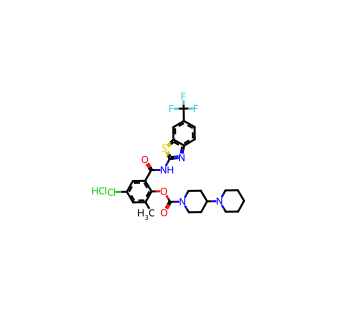 Cc1cc(Cl)cc(C(=O)Nc2nc3ccc(C(F)(F)F)cc3s2)c1OC(=O)N1CCC(N2CCCCC2)CC1.Cl